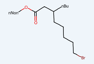 CCCCCCCCCOC(=O)CC(CCCC)CCCCCBr